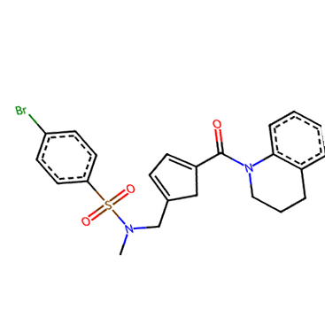 CN(CC1=CC=C(C(=O)N2CCCc3ccccc32)C1)S(=O)(=O)c1ccc(Br)cc1